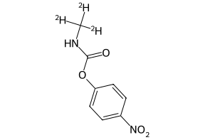 [2H]C([2H])([2H])NC(=O)Oc1ccc([N+](=O)[O-])cc1